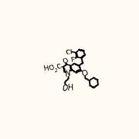 O=C(O)c1cn(CCO)c2cc(OCC3CCCCC3)c(Cc3cccc(Cl)c3F)cc2c1=O